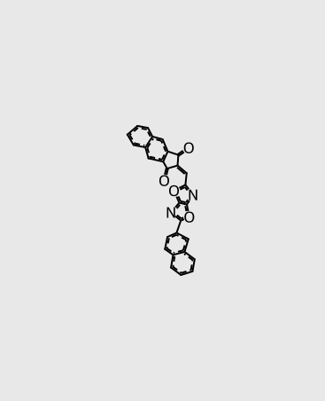 O=C1C(=Cc2nc3oc(-c4ccc5ccccc5c4)nc3o2)C(=O)c2cc3ccccc3cc21